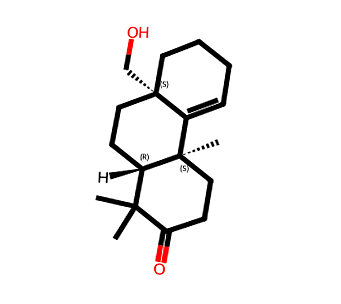 CC1(C)C(=O)CC[C@]2(C)C3=CCCC[C@]3(CO)CC[C@@H]12